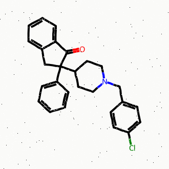 O=C1c2ccccc2CC1(c1ccccc1)C1CCN(Cc2ccc(Cl)cc2)CC1